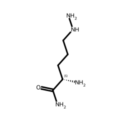 NNCCC[C@H](N)C(N)=O